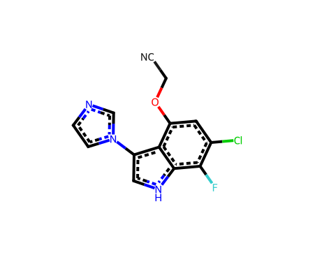 N#CCOc1cc(Cl)c(F)c2[nH]cc(-n3ccnc3)c12